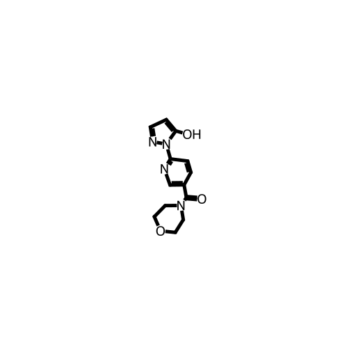 O=C(c1ccc(-n2nccc2O)nc1)N1CCOCC1